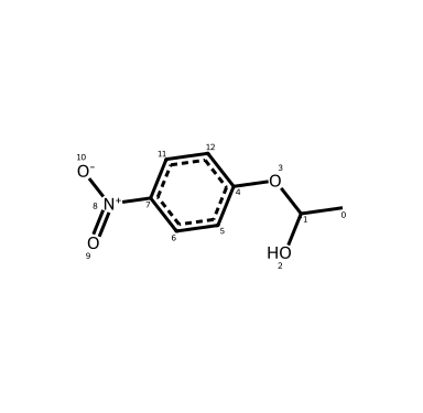 C[C](O)Oc1ccc([N+](=O)[O-])cc1